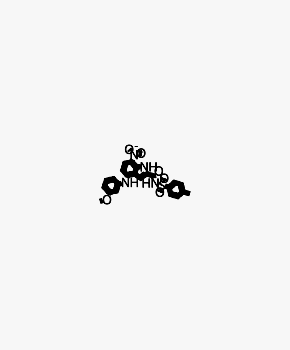 COc1cccc(Nc2ccc([N+](=O)[O-])c3[nH]c(C(=O)NS(=O)(=O)c4ccc(C)cc4)cc23)c1